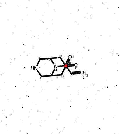 C=CC(=O)N1C2CNCC1CC(=O)C2